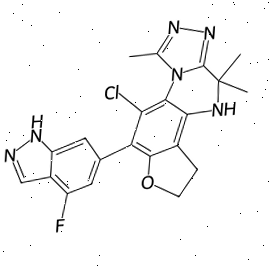 Cc1nnc2n1-c1c(Cl)c(-c3cc(F)c4cn[nH]c4c3)c3c(c1NC2(C)C)CCO3